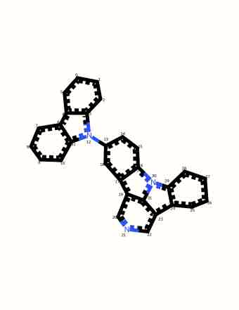 c1ccc2c(c1)c1ccccc1n2-c1ccc2c(c1)c1cncc3c4ccccc4n2c31